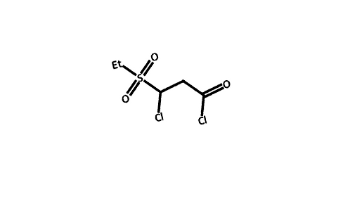 CCS(=O)(=O)C(Cl)CC(=O)Cl